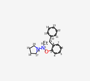 CCN(Oc1ccccc1Cc1ccccc1)N1CCCC1